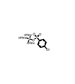 CCCCCC[Si](CCCCCC)(CCCCCC)OS(=O)(=O)c1ccc(CC)cc1